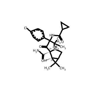 CC1(C)C2CN[C@](C(N)=O)(C(=O)C(NC(=O)C3CC3)(c3ccc(Cl)cc3)C(C)(C)C)[C@@H]21